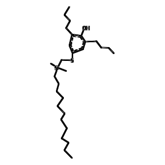 CCCCCCCCCCCC[Si](C)(C)CSc1cc(CCCC)c(O)c(CCCC)c1